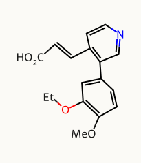 CCOc1cc(-c2cnccc2C=CC(=O)O)ccc1OC